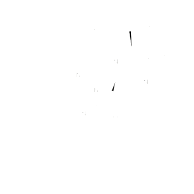 CN1CC(=O)N2[C@@H](CC(=O)O)C(=O)N(Cc3ccco3)C[C@@H]2N1C(=O)NCc1ccc(F)cc1